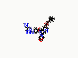 CN(C)Cc1cnc(NC2CCC(Oc3nc(N4CCOCC4)cc4ncc(OCOCC[Si](C)(C)C)cc34)CC2)nc1